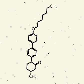 CCCCCCCOc1ccc(-c2ccc([C@@H]3CC[C@@H](C)CC3=O)cc2)cc1